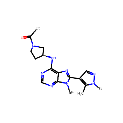 CCCn1c(-c2cnn(CC)c2C)nc2c(N[C@H]3CCN(C(=O)CC)C3)ncnc21